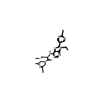 CCn1c(-c2cnc(C)nc2)nc2c(NC(COC)C(=O)N3CC(C)OC(C)C3)ncnc21